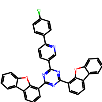 Clc1ccc(-c2ccc(-c3nc(-c4cccc5c4oc4ccccc45)nc(-c4cccc5c4oc4ccccc45)n3)cn2)cc1